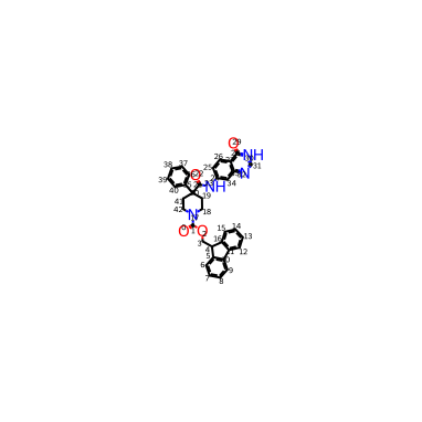 O=C(OCC1c2ccccc2-c2ccccc21)N1CCC(C(=O)Nc2ccc3c(=O)[nH]cnc3c2)(c2ccccc2)CC1